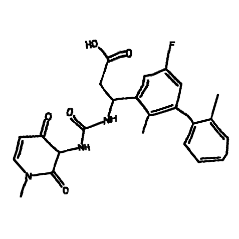 Cc1ccccc1-c1cc(F)cc(C(CC(=O)O)NC(=O)NC2C(=O)C=CN(C)C2=O)c1C